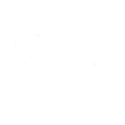 C[Si](C)(C)C#Cc1ccc(NS(C)(=O)=O)cc1C1CC=CCC1